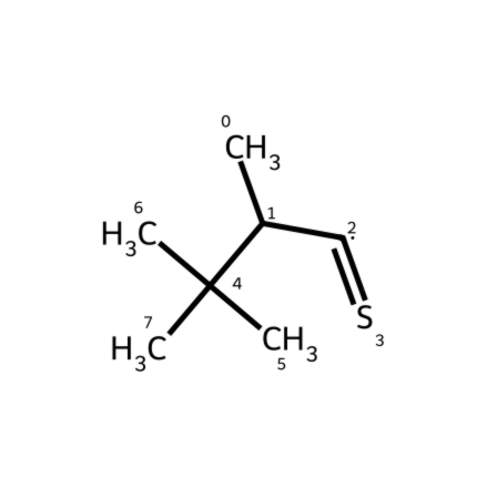 CC([C]=S)C(C)(C)C